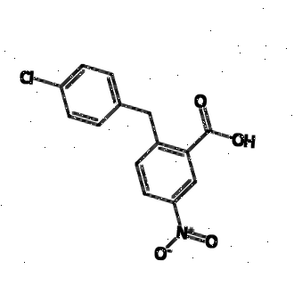 O=C(O)c1cc([N+](=O)[O-])ccc1Cc1ccc(Cl)cc1